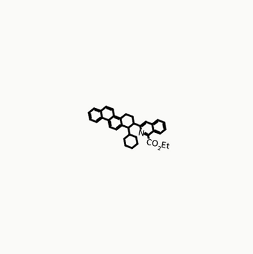 CCOC(=O)c1nc(C2CCc3c(ccc4c3ccc3ccccc34)C2C2CCCCC2)cc2ccccc12